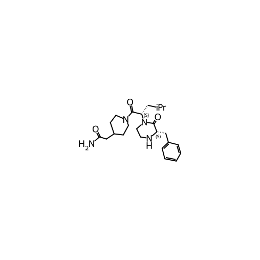 CC(C)C[C@@H](C(=O)N1CCC(CC(N)=O)CC1)N1CCN[C@@H](Cc2ccccc2)C1=O